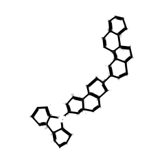 c1ccc2c(c1)ccc1c3cc(-c4ccc5c(ccc6cc(-n7c8ccccc8c8ccccc87)ccc65)c4)ccc3ccc21